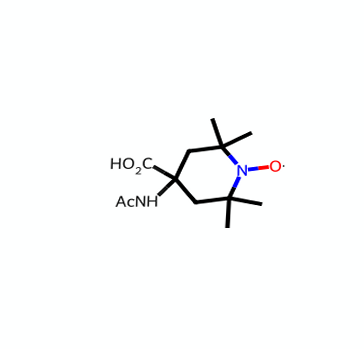 CC(=O)NC1(C(=O)O)CC(C)(C)N([O])C(C)(C)C1